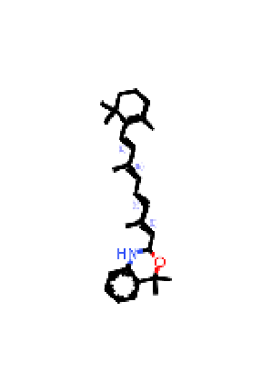 CC1=C(/C=C/C(C)=C/C=C/C(C)=C/C2Nc3ccccc3C(C)(C)O2)C(C)(C)CCC1